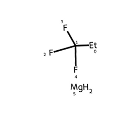 [CH2]CC(F)(F)F.[MgH2]